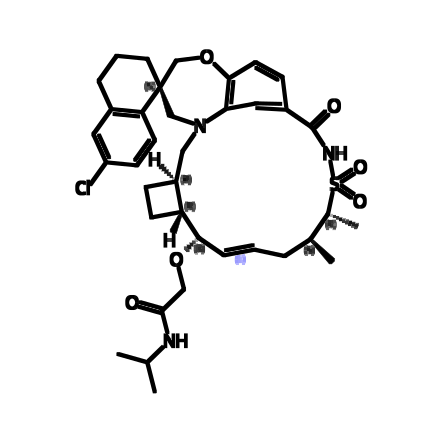 CC(C)NC(=O)CO[C@H]1/C=C/C[C@H](C)[C@@H](C)S(=O)(=O)NC(=O)c2ccc3c(c2)N(C[C@@H]2CC[C@H]21)C[C@@]1(CCCc2cc(Cl)ccc21)CO3